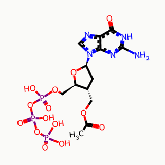 CC(=O)OC[C@H]1C[C@H](n2cnc3c(=O)[nH]c(N)nc32)O[C@@H]1COP(=O)(O)OP(=O)(O)OP(=O)(O)O